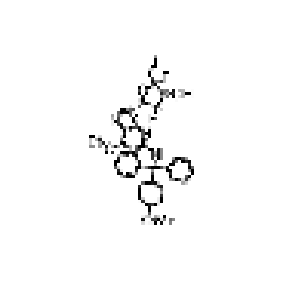 CCOc1nc(NC(c2ccccc2)(c2ccccc2)c2ccc(OC)cc2)nc2c1ncn2[C@@H]1O[C@](F)(CI)[C@@H](O)[C@@]1(C)F